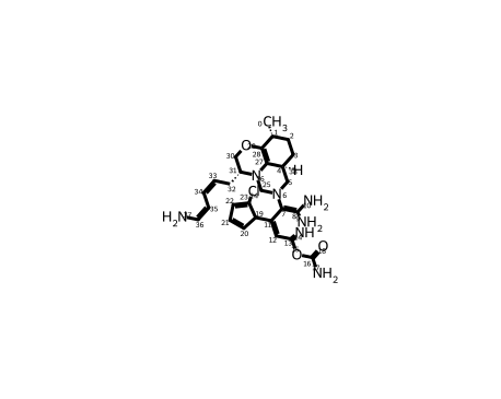 C[C@@H]1CC[C@H]2CN(C(=C(N)N)/C(=C\C(=N)OC(N)=O)C3C=CC=C3Cl)CN3C2=C1OC[C@H]3C/C=C\C=C/N